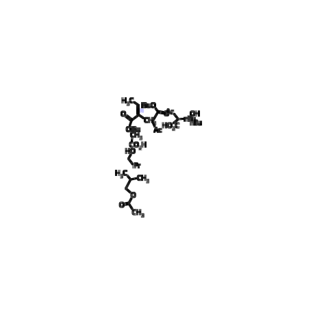 C/C=C(/C)C(=O)OCC(C)C.CC(=O)CC(=O)OCC(C)C.CC(=O)O.CC(=O)OCC(C)C.CC(C)CO.CCCCC(C(C)=O)C(=O)O.CCCCO